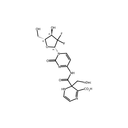 CCCCCCCCCCCC1(C(=O)Nc2ccn([C@@H]3O[C@H](CO)[C@@H](O)C3(F)F)c(=O)n2)NC=CN=C1C(=O)O